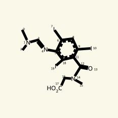 CN(C)C=Nc1c(I)cc(I)c(C(=O)N(C)CC(=O)O)c1I